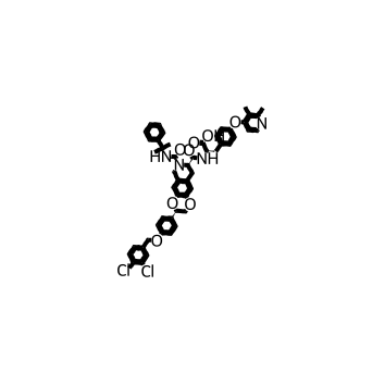 Cc1nccc(Oc2ccc(C[C@H](NC(=O)[C@@H]3Cc4cc5c(cc4CN3C(=O)NC(C)(C)c3ccccc3)O[C@@H](c3ccc(OCc4ccc(Cl)c(Cl)c4)cc3)CO5)C(=O)O)cc2)c1C